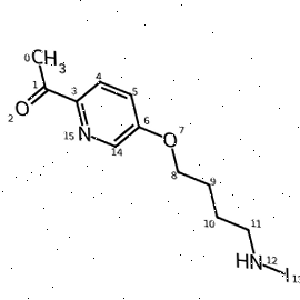 CC(=O)c1ccc(OCCCCNI)cn1